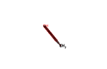 CC(C)CCCCCCCCCCCCCCCOCCOCCOCCOCCOCCOCCOCCOCCOCCOCCOCCOCCOCCOCCOCCOCCO